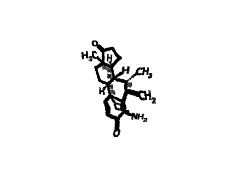 C=C1C2=C(N)C(=O)C=C[C@]2(C)[C@H]2CC[C@]3(C)C(=O)CC[C@H]3[C@@H]2[C@@H]1C